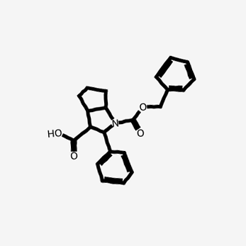 O=C(O)C1C2CCCC2N(C(=O)OCc2ccccc2)C1c1ccccc1